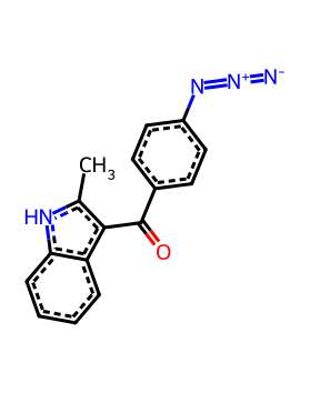 Cc1[nH]c2ccccc2c1C(=O)c1ccc(N=[N+]=[N-])cc1